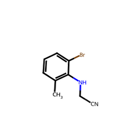 Cc1cccc(Br)c1NCC#N